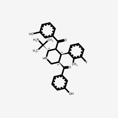 Cc1c(F)cccc1[C@@H]1C(C(=O)c2cccc(O)c2)[C@@H](C(C)(C)N)NC[C@@H]1C(=O)c1cccc(O)c1